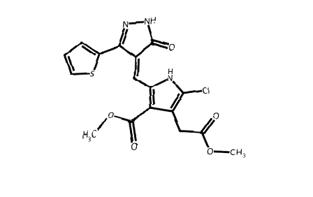 COC(=O)Cc1c(Cl)[nH]c(C=C2C(=O)NN=C2c2cccs2)c1C(=O)OC